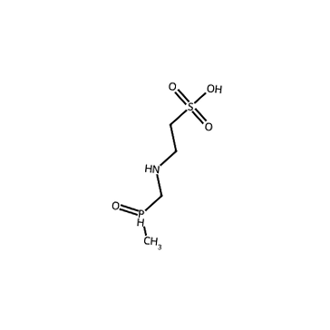 C[PH](=O)CNCCS(=O)(=O)O